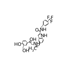 C[C@H](Cc1ccc2[nH]c(C(=O)NCc3ccc(C(F)(F)F)cc3)cc2c1)NC[C@@H](O)c1ccc(O)c(CO)c1